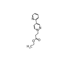 CCOC(=O)CC[n+]1ccc(-c2ccccn2)cn1